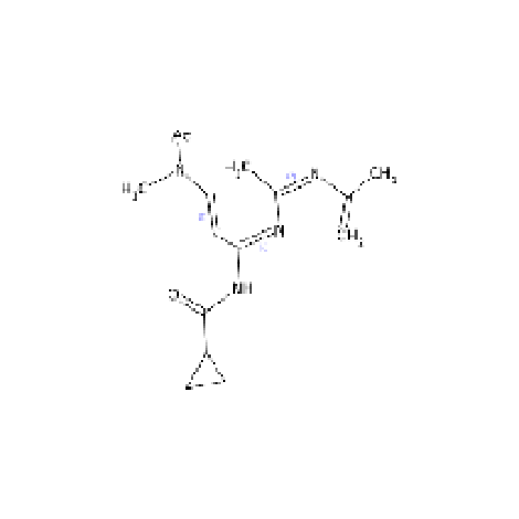 C=C(C)\N=C(C)/N=C(\C=C\N(C)C(C)=O)NC(=O)C1CC1